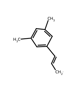 [CH2]C=Cc1cc(C)cc(C)c1